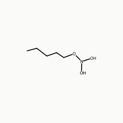 CCCCCON(O)O